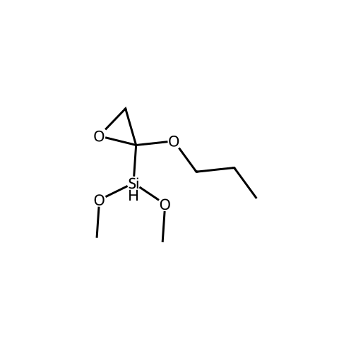 CCCOC1([SiH](OC)OC)CO1